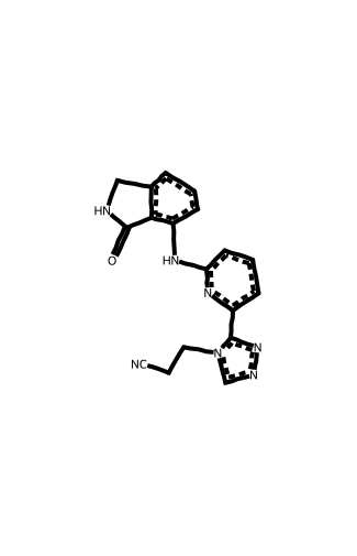 N#CCCn1cnnc1-c1cccc(Nc2cccc3c2C(=O)NC3)n1